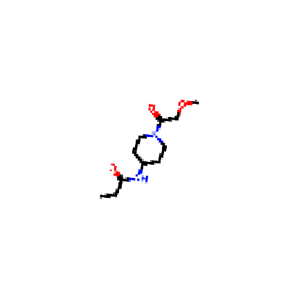 CCC(=O)NC1CCN(C(=O)COC)CC1